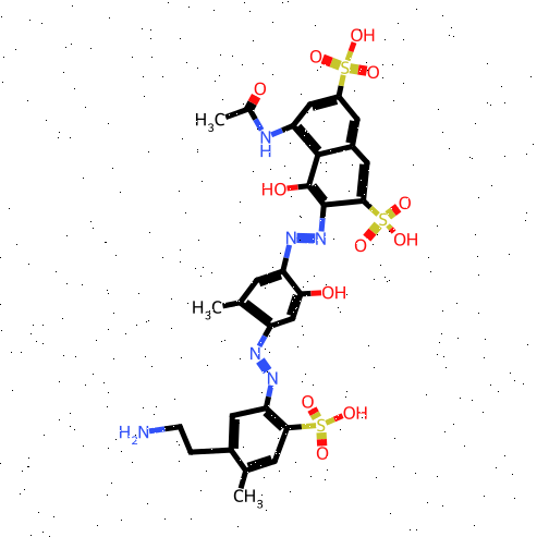 CC(=O)Nc1cc(S(=O)(=O)O)cc2cc(S(=O)(=O)O)c(N=Nc3cc(C)c(N=Nc4cc(CCN)c(C)cc4S(=O)(=O)O)cc3O)c(O)c12